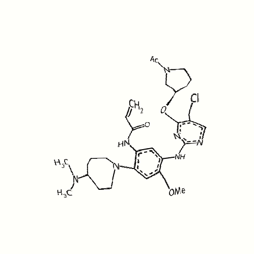 C=CC(=O)Nc1cc(Nc2ncc(Cl)c(O[C@@H]3CCCN(C(C)=O)C3)n2)c(OC)cc1N1CCC(N(C)C)CC1